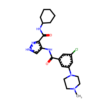 CN1CCN(c2cc(Cl)cc(C(=O)Nc3c[nH]nc3C(=O)NC3CCCCC3)c2)CC1